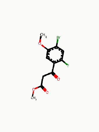 COC(=O)CC(=O)c1cc(OC)c(Br)cc1F